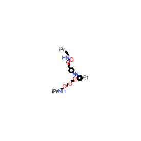 CCc1ccc(OCCOCCOCCNC(C)C)c(/N=N/C2CCC(CCOC(=O)NCC#CC(C)C)CC2)c1